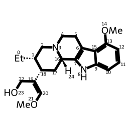 CC[C@@H]1CN2CCc3c([nH]c4cccc(OC)c34)[C@@H]2C[C@@H]1C(=COC)CO